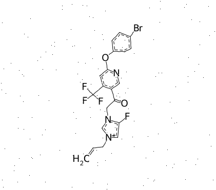 C=CC[n+]1cc(F)n(CC(=O)c2cnc(Oc3ccc(Br)cc3)cc2C(F)(F)F)c1